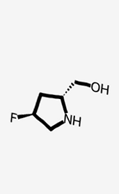 OC[C@H]1C[C@H](F)CN1